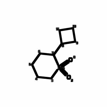 O=S1(=O)CCCCC1C1CCC1